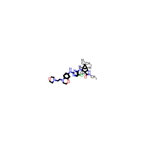 CNC(=O)[C@H]1C[C@H]2C[C@H](C2(C)C)[C@@]1(C)Nc1nc(Nc2ccc3c(c2)OCCN3CCN2CCOCC2)ncc1Cl